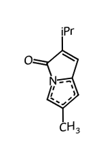 Cc1cc2n(c1)C(=O)C(C(C)C)=C2